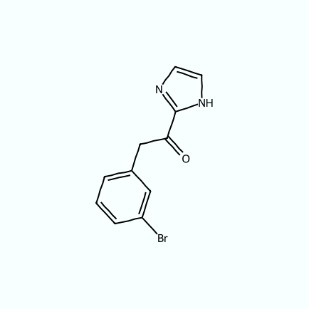 O=C(Cc1cccc(Br)c1)c1ncc[nH]1